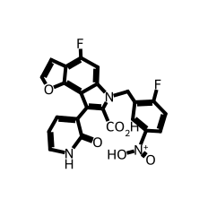 O=C(O)c1c(-c2ccc[nH]c2=O)c2c3occc3c(F)cc2n1Cc1cc([N+](=O)O)ccc1F